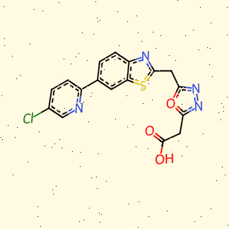 O=C(O)Cc1nnc(Cc2nc3ccc(-c4ccc(Cl)cn4)cc3s2)o1